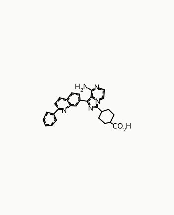 Nc1nccn2c(C3CCC(C(=O)O)CC3)nc(-c3ccc4ccc(-c5ccccc5)nc4c3)c12